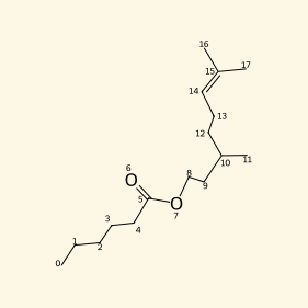 CCCCCC(=O)OCCC(C)CCC=C(C)C